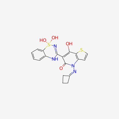 O=c1c(C2=NS(O)(O)c3ccccc3N2)c(O)c2sccc2n1N=C1CCC1